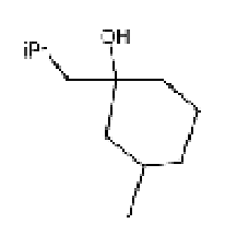 CC(C)CC1(O)CCCC(C)C1